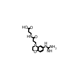 N=C(N)Nc1ccc2c(c1)N(CCC(=O)NCCC(=O)O)CCO2